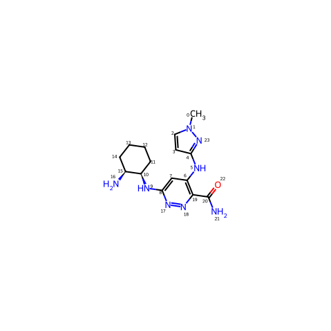 Cn1ccc(Nc2cc(N[C@@H]3CCCC[C@@H]3N)nnc2C(N)=O)n1